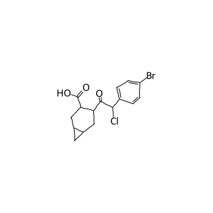 O=C(O)C1CC2CC2CC1C(=O)C(Cl)c1ccc(Br)cc1